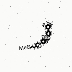 COCCCC1CCC(c2ccc(C(F)(F)OC3C=CC(c4cc(F)c(F)c(F)c4)=CC3)c(F)c2)OC1